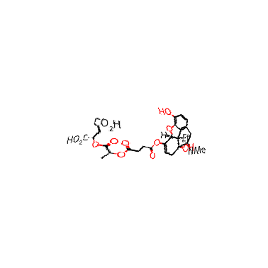 CC[C@]12c3c4ccc(O)c3O[C@H]1C(OC(=O)CCC(=O)O[C@@H](C)C(=O)O[C@@H](CC(=O)O)C(=O)O)=CC[C@@]2(O)[C@H](NC)C4